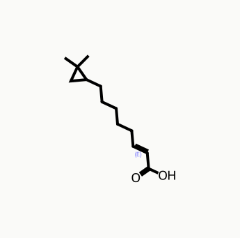 CC1(C)CC1CCCCC/C=C/C(=O)O